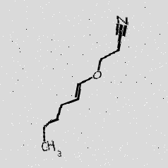 CCCCC=COCCC#N